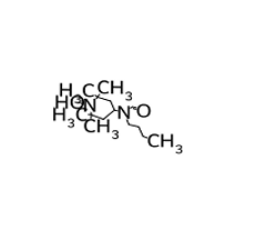 CCCCN(C=O)C1CC(C)(C)N(O)C(C)(C)C1